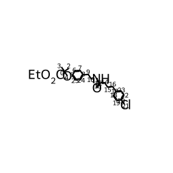 CCOC(=O)C(C)(C)Oc1ccc(CCNC(=O)CCCc2ccc(Cl)cc2)cc1